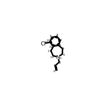 C=CCN1CCc2cccc(Cl)c2CC1